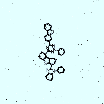 c1ccc(-c2nc(-c3ccc4c(c3)oc3ccccc34)nc(-c3cccc4sc5c(-c6nc7ccccc7n6-c6ccccc6)cccc5c34)n2)cc1